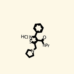 CCCC(=O)c1c(-c2ccccc2)nsc1CN1CCCC1.Cl